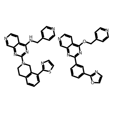 c1cc(-c2nc(OCc3ccncc3)c3ccncc3n2)cc(-c2ncco2)c1.c1cc2c(c(-c3nccs3)c1)CN(c1nc(NCc3ccncc3)c3ccncc3n1)CC2